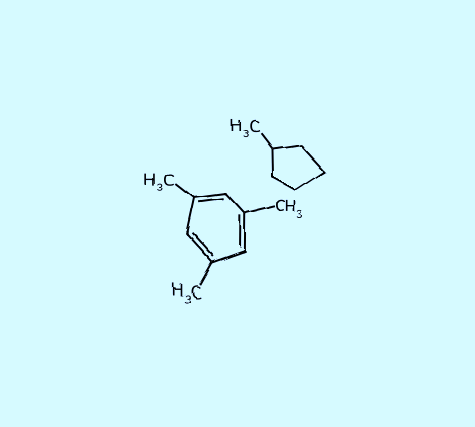 CC1CCCC1.Cc1cc(C)cc(C)c1